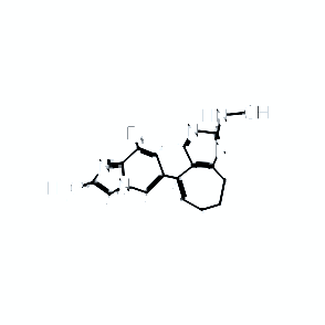 CNc1ncc2c(n1)CCCC=C2c1cc(F)c2nc(C)cn2c1